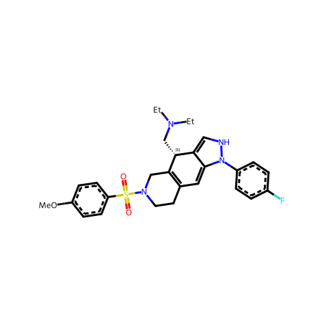 CCN(CC)C[C@@H]1C2=CNN(c3ccc(F)cc3)C2=CC2=C1CN(S(=O)(=O)c1ccc(OC)cc1)CC2